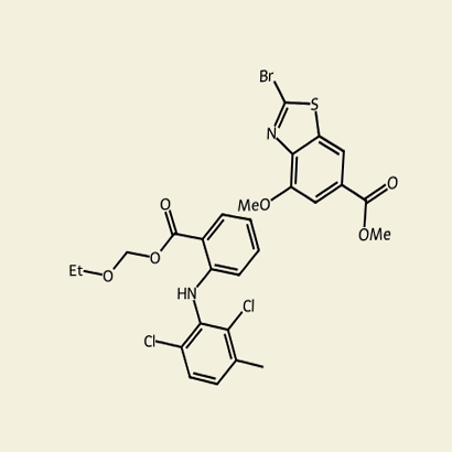 CCOCOC(=O)c1ccccc1Nc1c(Cl)ccc(C)c1Cl.COC(=O)c1cc(OC)c2nc(Br)sc2c1